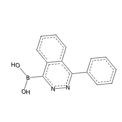 OB(O)c1nnc(-c2ccccc2)c2ccccc12